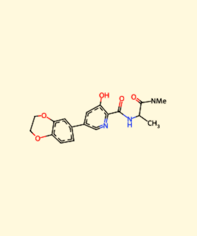 CNC(=O)C(C)NC(=O)c1ncc(-c2ccc3c(c2)OCCO3)cc1O